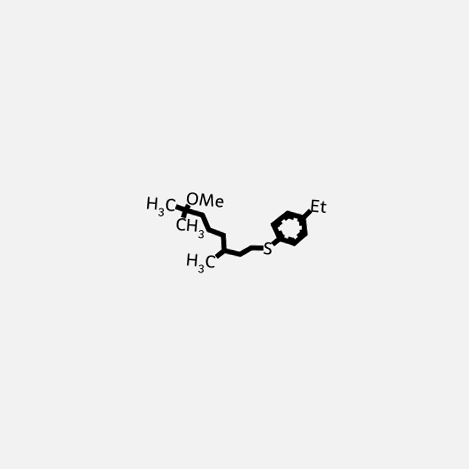 CCc1ccc(SCCC(C)CCCC(C)(C)OC)cc1